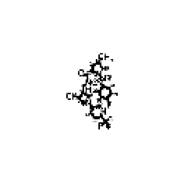 C[C@@H]1C[C@@H](C(=O)NCc2cn(-c3ccc(C(F)(F)F)nc3)nc2Cl)N(S(=O)(=O)c2ccc(F)cc2)C1